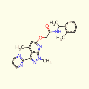 Cc1ccccc1C(C)NC(=O)COc1cc(C)c2c(-c3ncccn3)nn(C)c2n1